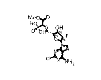 COC(=O)C(OC[C@H]1OC(n2cnc3c(N)nc(Cl)nc32)[C@@H](F)[C@@H]1O)P(=O)(O)O